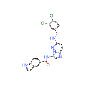 O=C(Nc1cnc2ccc(NCc3ccc(Cl)c(Cl)c3)nn12)c1ccc2[nH]ccc2c1